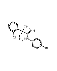 CC(C)(C(=N)Nc1ccc(Br)cc1)c1ccccc1Cl